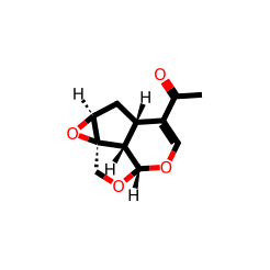 CC(=O)C1=CO[C@@H]2OC[C@]34O[C@H]3C[C@H]1[C@H]24